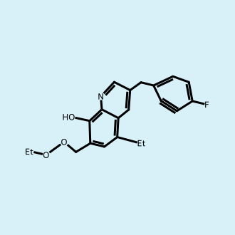 CCOOCc1cc(CC)c2cc(Cc3c#cc(F)cc3)cnc2c1O